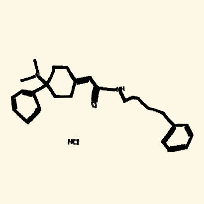 CN(C)C1(c2ccccc2)CCC(=CC(=O)NCCCCc2ccccc2)CC1.Cl